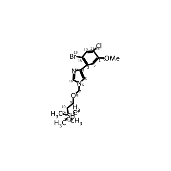 COc1cc(-c2cn(COCC[SH](C)(C)(C)C)cn2)c(Br)cc1Cl